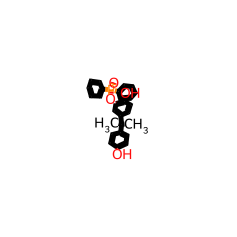 CC(C)(c1ccc(O)cc1)c1ccc(O)c(OP(=O)(c2ccccc2)c2ccccc2)c1